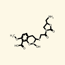 COc1ccc2c(c1C(=O)O)OB(O)C(SCC(=O)N1CC(CN)OC1=O)C2